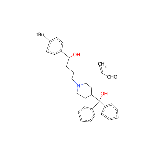 C=CC=O.CC(C)(C)c1ccc(C(O)CCCN2CCC(C(O)(c3ccccc3)c3ccccc3)CC2)cc1